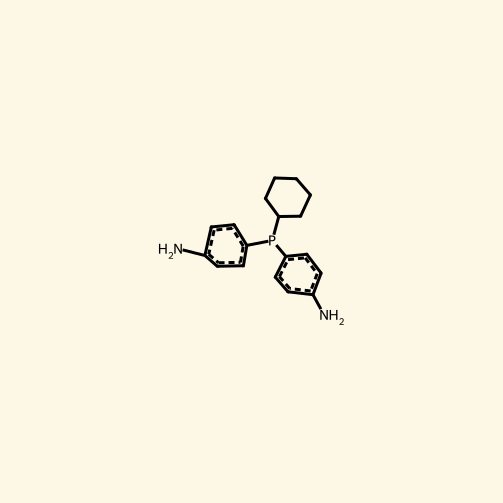 Nc1ccc(P(c2ccc(N)cc2)C2CCCCC2)cc1